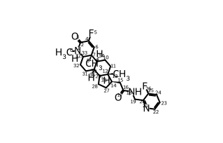 CN1C(=O)C(F)=C[C@]2(C)[C@H]3CC[C@]4(C)[C@@H](CC(=O)NCc5ncccc5F)CC[C@H]4[C@@H]3CC[C@@H]12